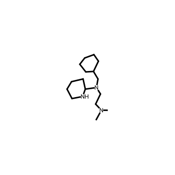 CN(C)CCN(CC1CCCCC1)C1CCCCN1